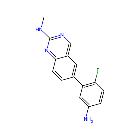 CNc1ncc2cc(-c3cc(N)ccc3F)ccc2n1